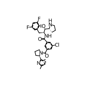 Cc1csc([C@H]2CCCN2C(=O)c2cc(Cl)cc(C(=O)N[C@@H](Cc3cc(F)cc(F)c3)[C@H](O)[C@H]3CCCN3)c2)n1